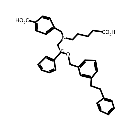 O=C(O)CCCCN(Cc1ccc(C(=O)O)cc1)C[C@@H](OCc1cccc(CCc2ccccc2)c1)c1ccccc1